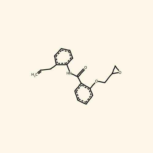 C=CCc1ccccc1NC(=O)c1ccccc1OCC1CO1